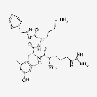 Cc1cc(O)cc(C)c1CC(NC(=O)C(N)CCCNC(=N)N)C(=O)N[C@@H](CCCCN)c1nc(Cc2ccccc2)no1